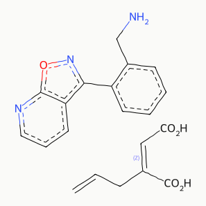 C=CC/C(=C/C(=O)O)C(=O)O.NCc1ccccc1-c1noc2ncccc12